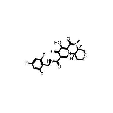 CN1C(=O)c2c(O)c(=O)c(C(=O)NCc3c(F)cc(F)cc3F)cn2[C@H]2CCOC[C@]21C